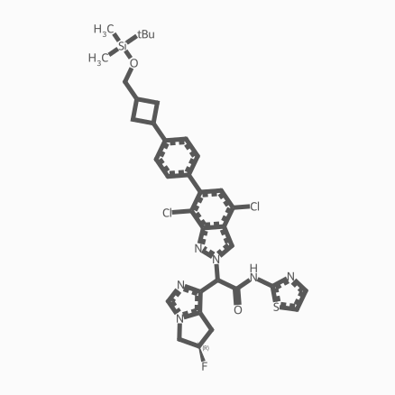 CC(C)(C)[Si](C)(C)OCC1CC(c2ccc(-c3cc(Cl)c4cn(C(C(=O)Nc5nccs5)c5ncn6c5C[C@@H](F)C6)nc4c3Cl)cc2)C1